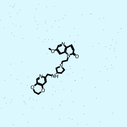 COc1cnc2ccc(=O)n(CCN3CC[C@H](NCc4cc5c(cn4)OCCO5)C3)c2c1